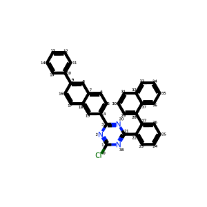 Clc1nc(-c2ccc3cc(-c4ccccc4)ccc3c2)nc(-c2ccccc2-c2cccc3ccccc23)n1